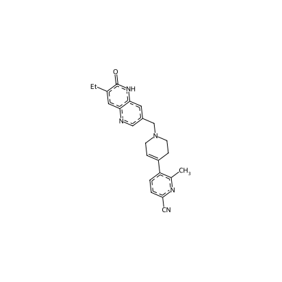 CCc1cc2ncc(CN3CC=C(c4ccc(C#N)nc4C)CC3)cc2[nH]c1=O